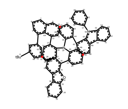 CC(C)(C)c1cc(-c2cccc3cccc(-c4ccccc4N(c4ccccc4-c4cccc5c4oc4ccccc45)c4ccccc4-c4cccc5c6ccccc6n(-c6ccccc6)c45)c23)cc(C(C)(C)C)c1